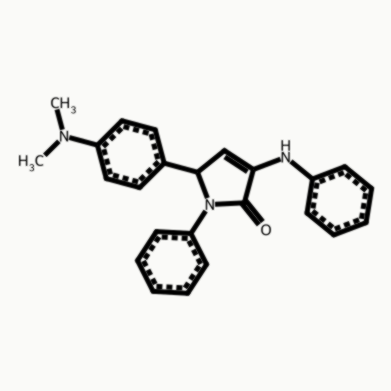 CN(C)c1ccc(C2C=C(Nc3ccccc3)C(=O)N2c2ccccc2)cc1